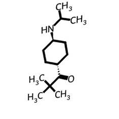 CC(C)N[C@H]1CC[C@H](C(=O)C(C)(C)C)CC1